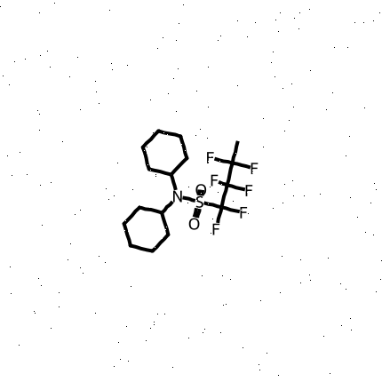 CC(F)(F)C(F)(F)C(F)(F)S(=O)(=O)N(C1CCCCC1)C1CCCCC1